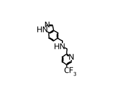 FC(F)(F)c1ccc(CNCc2ccc3[nH]ncc3c2)nc1